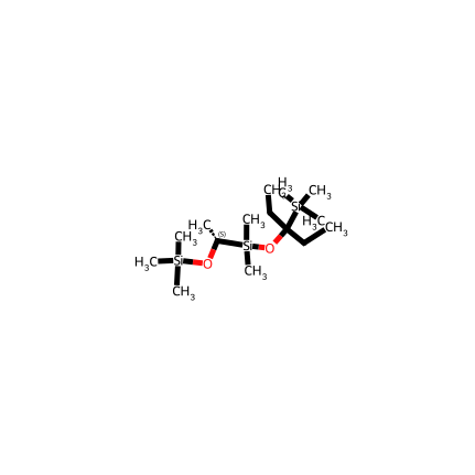 CCC(CC)(O[Si](C)(C)[C@@H](C)O[Si](C)(C)C)[Si](C)(C)C